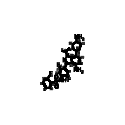 CC(C)n1nc(-c2cc(F)c(NS(=O)(=O)c3ccccc3F)cc2F)c2c(N)ncc(C3CCC(N)CC3)c21